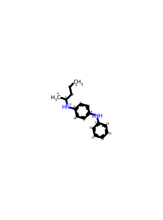 CCCC(C)Nc1ccc(Nc2ccccc2)cc1